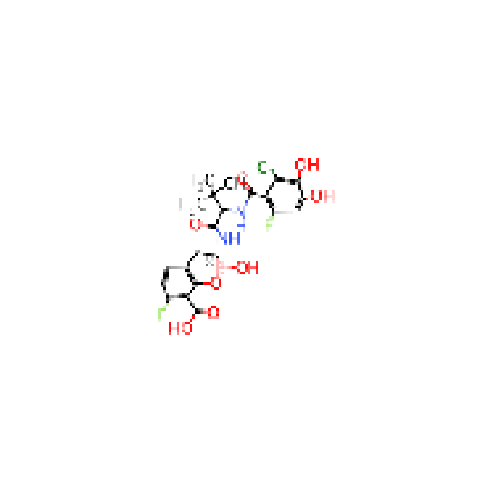 CC(C)(C)C(NC(=O)c1c(F)cc(O)c(O)c1Cl)C(=O)N[C@H]1Cc2ccc(F)c(C(=O)O)c2OB1O